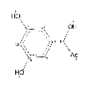 CC(=O)CO.Oc1cccc(O)c1